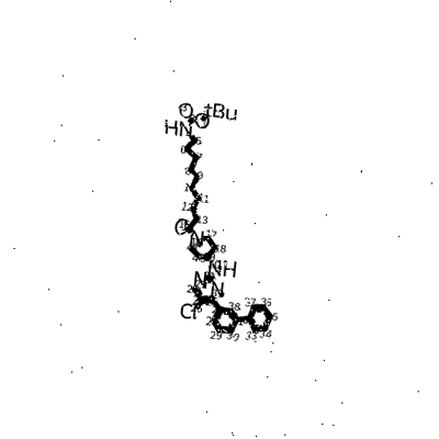 CC(C)(C)OC(=O)NCCCCCCCCCC(=O)N1CCC(Nc2ncc(Cl)c(-c3cccc(-c4ccccc4)c3)n2)CC1